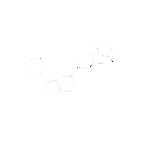 O=C(N[C@@H]1C[C@H]2CCN(C2)C1)c1cc2c(N3CCSCC3)csc2cn1